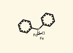 [Cl][Pd].[Fe].c1ccc(Pc2ccccc2)cc1